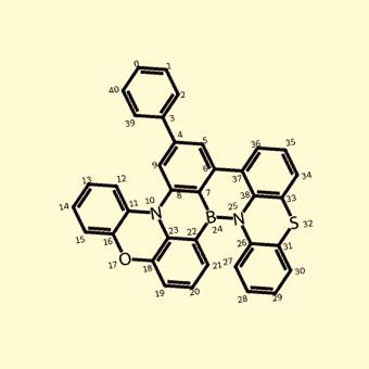 c1ccc(-c2cc3c4c(c2)N2c5ccccc5Oc5cccc(c52)B4N2c4ccccc4Sc4cccc-3c42)cc1